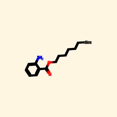 CCCCCCCCCCCCCCCOC(=O)c1ccccc1N